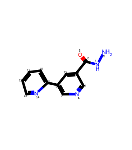 NNC(=O)c1cncc(-c2ccccn2)c1